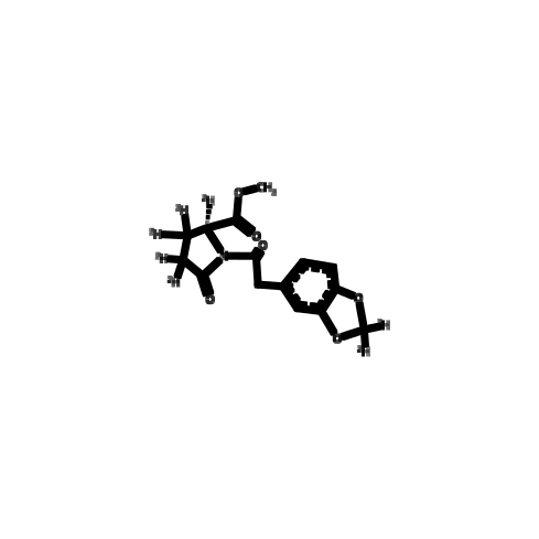 [2H]C1([2H])Oc2ccc(CC(=O)N3C(=O)C([2H])([2H])C([2H])([2H])[C@@]3([2H])C(=O)OC)cc2O1